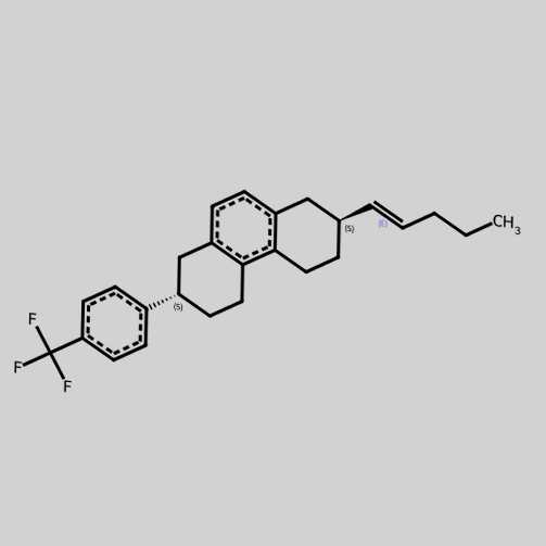 CCC/C=C/[C@H]1CCc2c(ccc3c2CC[C@H](c2ccc(C(F)(F)F)cc2)C3)C1